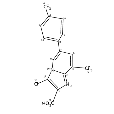 O=C(O)c1nc2c(C(F)(F)F)cc(-c3ccc(C(F)(F)F)cc3)cn2c1Cl